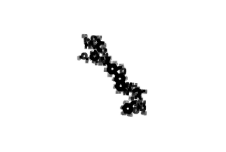 COC[C@H]1C[C@@H](c2ncc(-c3ccc4c(c3)COc3cc5c(ccc6nc([C@@H]7C[C@@H](C)[C@@H](C)N7C[C@H](NC(=O)OC)c7ccccc7)[nH]c65)cc3-4)[nH]2)N(C(=O)[C@@H](NC(=O)OC)C(C)C)C1